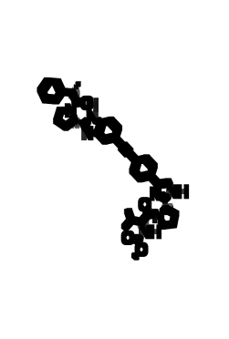 COC(=O)N[C@H](C(=O)N1CCC[C@H]1c1nc(-c2ccc(C#Cc3ccc4[nH]c([C@@H]5CCCN5C(=O)[C@@H](C)c5ccccc5)nc4c3)cc2)c[nH]1)C(C)C